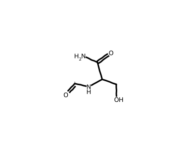 NC(=O)C(CO)N[C]=O